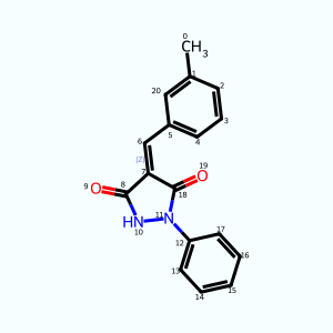 Cc1cccc(/C=C2/C(=O)NN(c3ccccc3)C2=O)c1